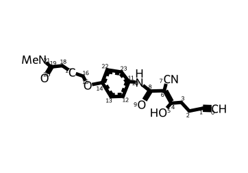 C#CCC/C(O)=C(\C#N)C(=O)Nc1ccc(OCCCC(=O)NC)cc1